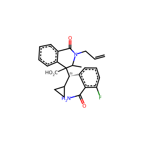 C=CCN1C(=O)c2ccccc2C(C(=O)O)([C@H](c2cccc(F)c2C(N)=O)C2CC2)C1C